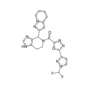 O=C(c1nnc(-c2ccn(C(F)F)n2)o1)N1CCc2[nH]cnc2C1c1cc2ccccn2n1